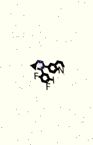 C/C(=C(\C=C/C1C=C1)c1ccc2ncccc2c1)c1cc(I)c(F)cc1F